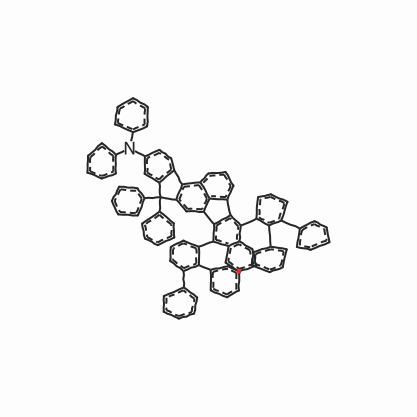 c1ccc(-c2cccc(-c3c4c(c(-c5cccc(-c6ccccc6)c5-c5ccccc5)c5ccccc35)-c3cc5c(c6cccc-4c36)-c3ccc(N(c4ccccc4)c4ccccc4)cc3C5(c3ccccc3)c3ccccc3)c2-c2ccccc2)cc1